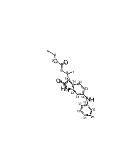 CCOC(=O)CC(C)n1c(=O)[nH]c2cc(Nc3ccccc3)ccc21